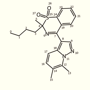 CCCCC1(C)N=C(c2cnn3c(C)c(C)ccc23)c2ccccc2S1(=O)=O